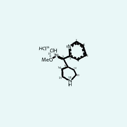 CO/N=C(/c1ccccn1)C1CCNCC1.Cl.Cl